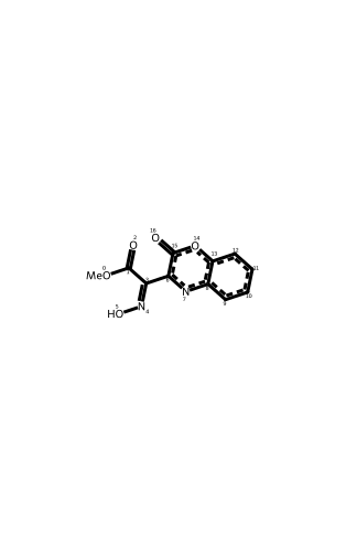 COC(=O)C(=NO)c1nc2ccccc2oc1=O